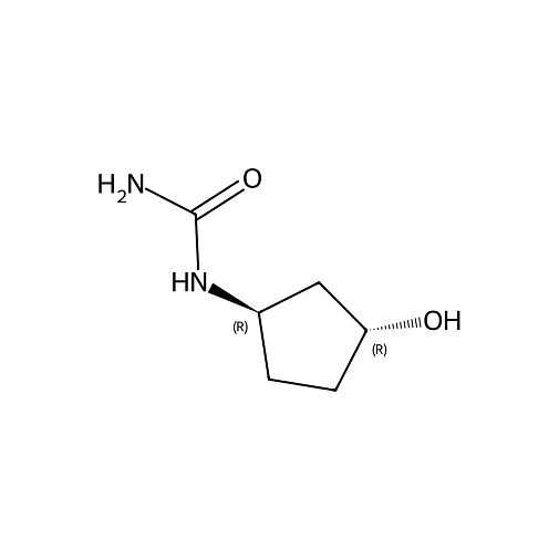 NC(=O)N[C@@H]1CC[C@@H](O)C1